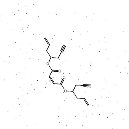 C#CCC(CC=C)OC(=O)/C=C\C(=O)OC(CC#C)CC=C